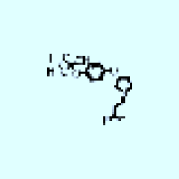 CC(C)(C)Oc1ccc(O[C@@H]2CCN(CCC(F)F)C2)cc1